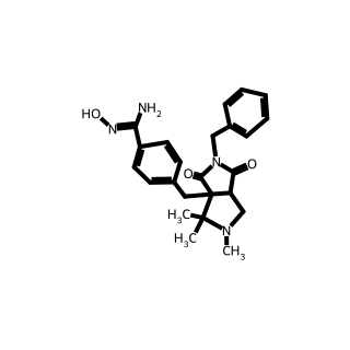 CN1CC2C(=O)N(Cc3ccccc3)C(=O)C2(Cc2ccc(C(N)=NO)cc2)C1(C)C